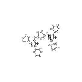 c1ccc(-c2nc(-c3ccccc3)n(Cc3ccc(Cn4nc(-c5ccccc5)nc4-c4ccccc4)cc3)n2)cc1